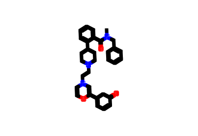 CN(Cc1ccccc1)C(=O)c1ccccc1C1CCN(CCN2C=COC(C3=CC=CC(=O)C3)=C2)CC1